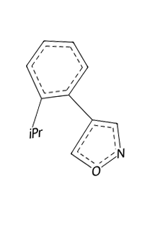 CC(C)c1ccccc1-c1cnoc1